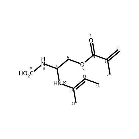 C=C(C)C(=O)OCC(NC(=O)O)NC(C)=CC